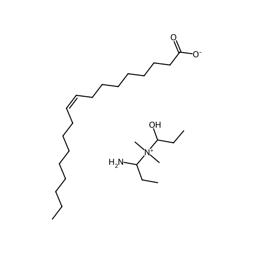 CCC(N)[N+](C)(C)C(O)CC.CCCCCCCC/C=C\CCCCCCCC(=O)[O-]